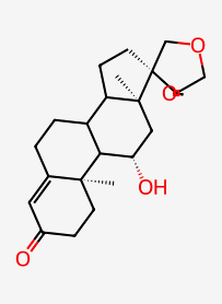 C[C@]12CCC(=O)C=C1CCC1C2[C@@H](O)C[C@@]2(C)C1CC[C@@]21COCC12CCOC2